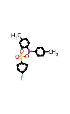 Cc1ccc([I+](OS(=O)(=O)c2ccc(F)cc2)c2ccc(C)cc2)cc1